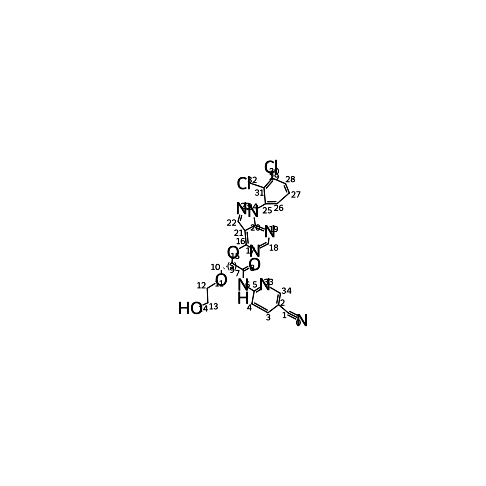 N#Cc1ccc(NC(=O)[C@H](COCCO)Oc2ncnc3c2cnn3-c2cccc(Cl)c2Cl)nc1